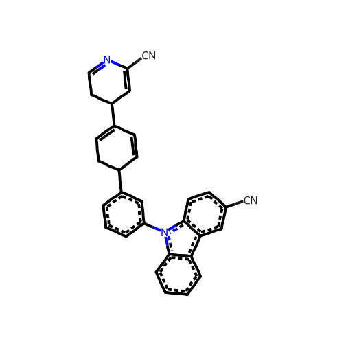 N#CC1=CC(C2=CCC(c3cccc(-n4c5ccccc5c5cc(C#N)ccc54)c3)C=C2)CC=N1